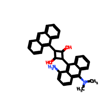 CN(C)c1c2ccccc2c(C2C(O)C(c3c4ccccc4cc4ccccc34)C2O)c2c(N)cccc12